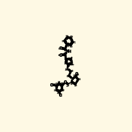 O=C(NC(=O)c1csc(SCCN2C(=O)CC[C@@H]2COc2cc(Cl)cc(Cl)c2)n1)c1ccccc1